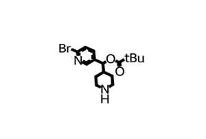 CC(C)(C)C(=O)OC(c1ccc(Br)nc1)C1CCNCC1